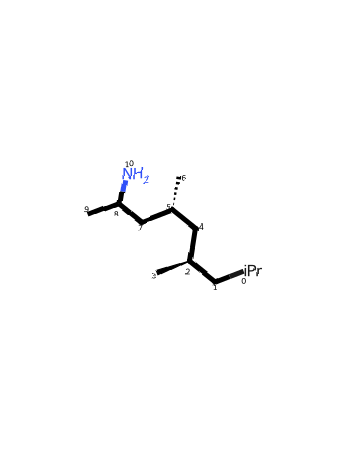 CC(C)C[C@@H](C)C[C@@H](C)CC(C)N